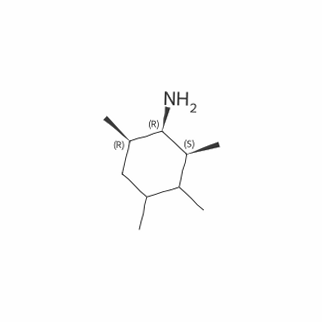 CC1C[C@@H](C)[C@@H](N)[C@@H](C)C1C